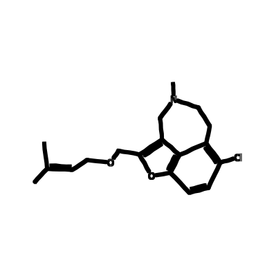 CC(C)=CCOCc1oc2ccc(Cl)c3c2c1CN(C)CC3